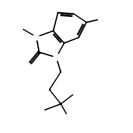 Cn1c(=O)n(CCC(C)(C)O)c2cc(N)ccc21